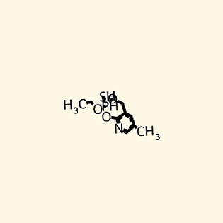 CCO[PH]1(S)OCc2cc(C)cnc2O1